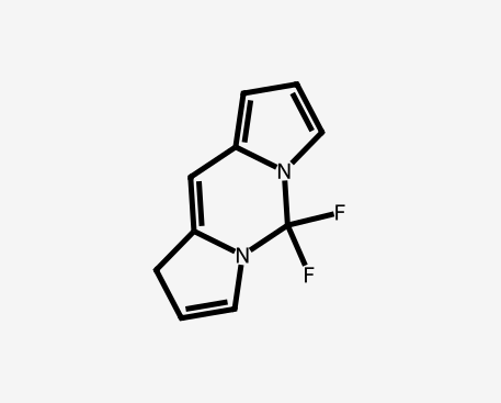 FC1(F)N2C=CCC2=Cc2cccn21